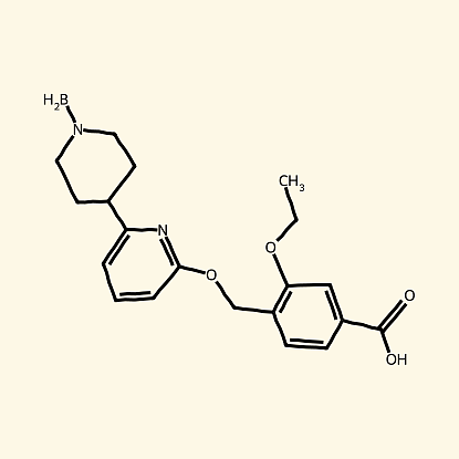 BN1CCC(c2cccc(OCc3ccc(C(=O)O)cc3OCC)n2)CC1